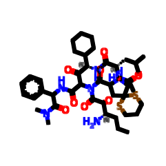 CCC[C@H](N)C(=O)C(=O)N(C(=O)C1CC2(CN1)SCCCS2)C(C(=O)NC(C(=O)N(C)C)c1ccccc1)C(=O)[C@@H](NC(=O)[C@H](CC(C)C)NC(C)=O)C1CCCCC1